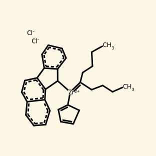 CCCC[C](CCCC)=[Zr+2]([C]1=CC=CC1)[CH]1c2ccccc2-c2ccc3ccccc3c21.[Cl-].[Cl-]